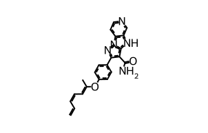 C=C/C=C\C=C(/C)Oc1ccc(-c2nn3c([nH]c4cnccc43)c2C(N)=O)cc1